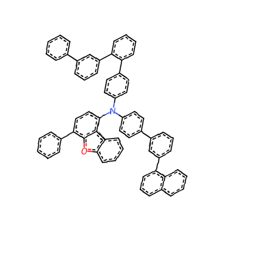 c1ccc(-c2cccc(-c3ccccc3-c3ccc(N(c4ccc(-c5cccc(-c6cccc7ccccc67)c5)cc4)c4ccc(-c5ccccc5)c5oc6ccccc6c45)cc3)c2)cc1